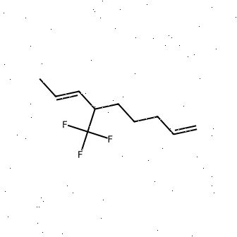 C=CCCC[C](C=CC)C(F)(F)F